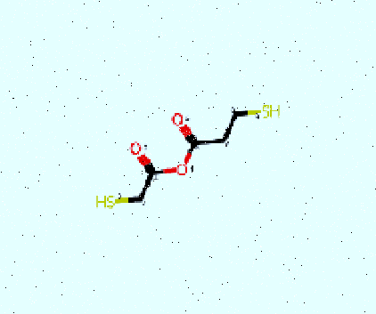 O=C(CS)OC(=O)CCS